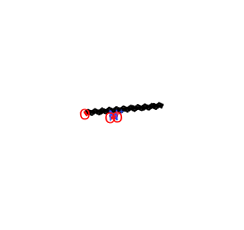 CC/C=C/C/C=C/C/C=C/C/C=C/C/C(=C/C/C=C/CC[C]=O)[N+](=O)[O-]